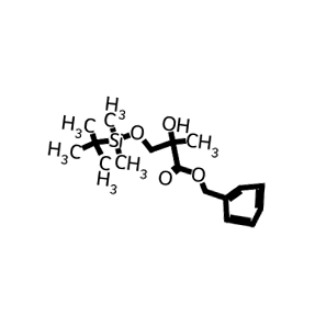 CC(O)(CO[Si](C)(C)C(C)(C)C)C(=O)OCc1ccccc1